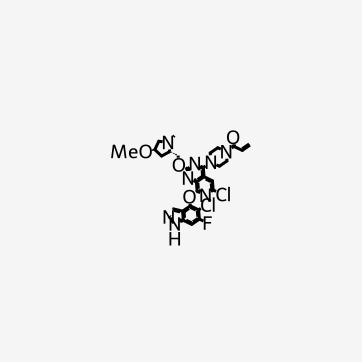 C=CC(=O)N1CCN(c2nc(OC[C@@H]3C[C@H](OC)CN3C)nc3c(Oc4c(Cl)c(F)cc5[nH]ncc45)nc(Cl)cc23)CC1